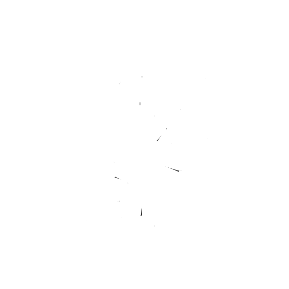 CCCCCC(=O)O.C[C@@H]1C[C@H]2[C@@H]3CCC4=CC(=O)C=C[C@]4(C)[C@@]3(F)[C@@H](O)C[C@]2(C)[C@@]1(O)C(=O)CO